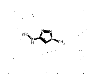 CCCBc1cn(C)nn1